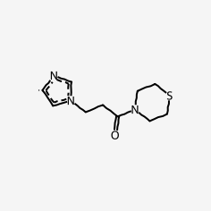 O=C(CCn1c[c]nc1)N1CCSCC1